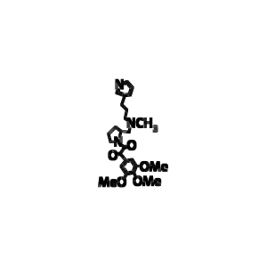 COc1cc(C(=O)C(=O)N2CCC[C@H]2CN(C)CCCc2cccnc2)cc(OC)c1OC